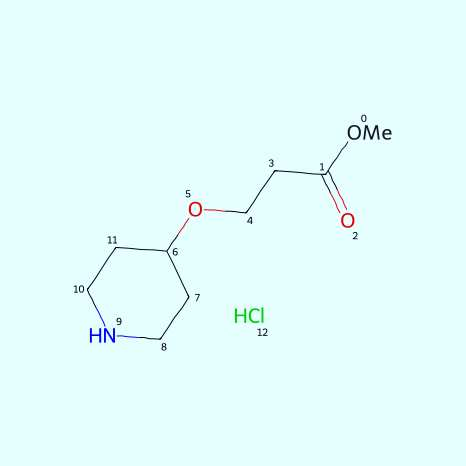 COC(=O)CCOC1CCNCC1.Cl